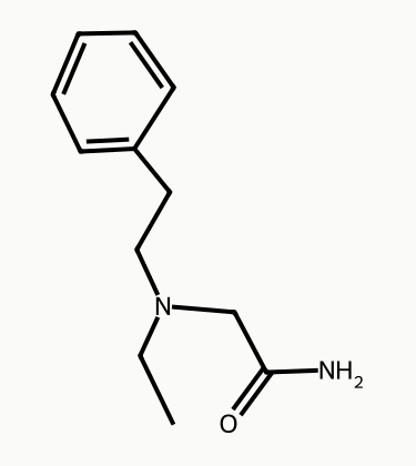 CCN(CCc1ccccc1)CC(N)=O